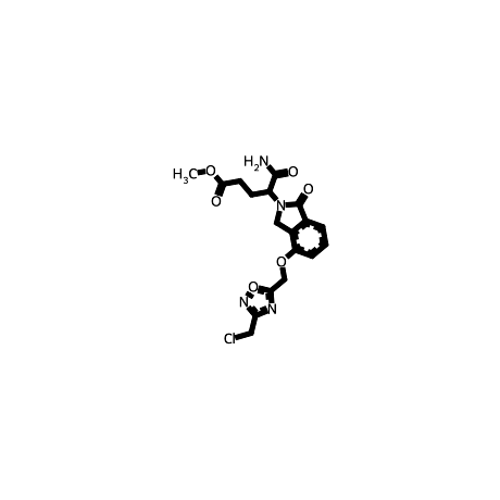 COC(=O)CCC(C(N)=O)N1Cc2c(OCc3nc(CCl)no3)cccc2C1=O